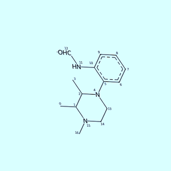 CC1C(C)N(c2ccccc2N[C]=O)CCN1C